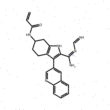 C=CC(=O)NC1CCc2c([nH]c(/C(N)=N\C=N)c2-c2cnc3ccccc3c2)C1